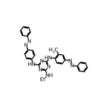 CCNc1nc(Nc2ccc(N=Nc3ccccc3)cc2)nc(Nc2ccc(N=Nc3ccccc3)cc2C)n1